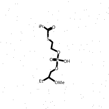 CCC(COP(=O)(O)OCCSC(=O)C(C)C)OC